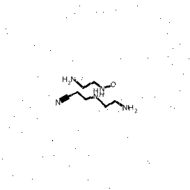 N#CCCNCCN.NCCN[O]